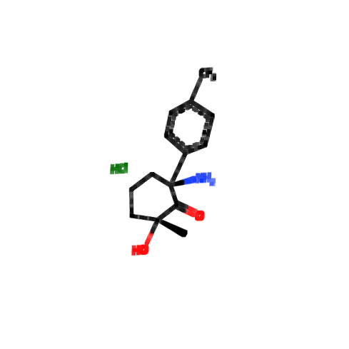 C[C@@]1(O)CCC[C@](N)(c2ccc(C(F)(F)F)cc2)C1=O.Cl